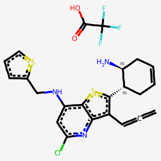 C=C=Cc1c([C@H]2CC=CC[C@@H]2N)sc2c(NCc3cccs3)cc(Cl)nc12.O=C(O)C(F)(F)F